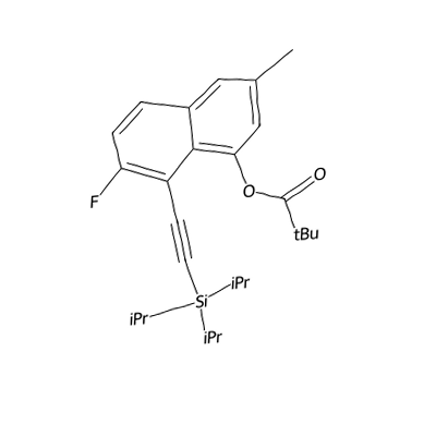 Cc1cc(OC(=O)C(C)(C)C)c2c(C#C[Si](C(C)C)(C(C)C)C(C)C)c(F)ccc2c1